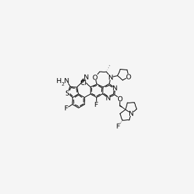 C[C@H]1COc2c(Cl)c(-c3ccc(F)c4sc(N)c(C#N)c34)c(F)c3nc(OC[C@@]45CCCN4C[C@H](F)C5)nc(c23)N1C1CCOC1